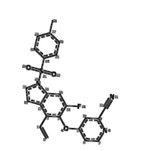 C=Cc1c(Oc2ccnc(C#N)c2)c(F)cc2c1ccn2S(=O)(=O)c1ccc(C)cc1